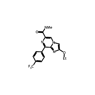 CCOc1cn2cc(C(=O)NC)nc(-c3ccc(C(F)(F)F)cc3)c2n1